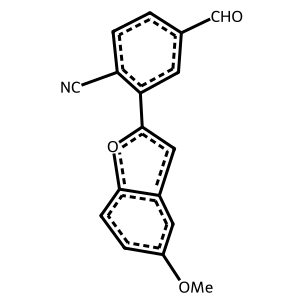 COc1ccc2oc(-c3cc(C=O)ccc3C#N)cc2c1